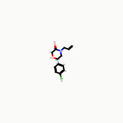 C=CCN1C[C@H](c2ccc(Br)cc2)OCC1=O